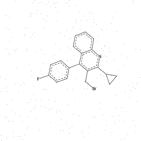 Fc1ccc(-c2c([CH]Br)c(C3CC3)nc3ccccc23)cc1